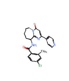 COc1cc(Cl)ccc1C(=O)NC1CCCCn2c1nc(-c1ccncc1)cc2=O